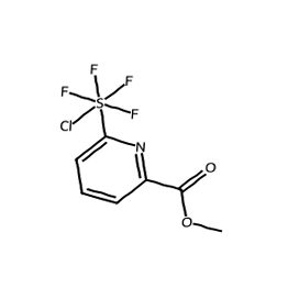 COC(=O)c1cccc(S(F)(F)(F)(F)Cl)n1